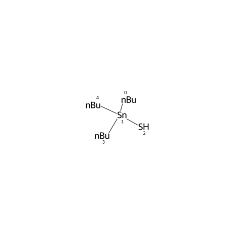 CCC[CH2][Sn]([SH])([CH2]CCC)[CH2]CCC